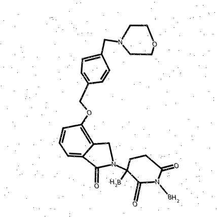 BN1C(=O)CCC(B)(N2Cc3c(OCc4ccc(CN5CCOCC5)cc4)cccc3C2=O)C1=O